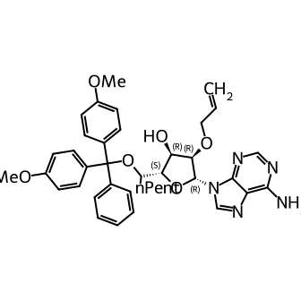 C=CCO[C@@H]1[C@H](O)[C@@H](C(CCCCC)OC(c2ccccc2)(c2ccc(OC)cc2)c2ccc(OC)cc2)O[C@H]1n1cnc2c(N)ncnc21